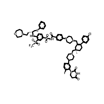 C[C@@]1(CN2CCC(c3ccc(F)c(N4CCC(=O)NC4=O)c3)CC2)CCC(c2ccc(Cl)cc2)=C(CN2CCN(c3ccc(C(=O)NS(=O)(=O)c4ccc(N[C@H](CCN5CCCOCC5)CSc5ccccc5)c(S(=O)(=O)C(F)(F)F)c4)cc3)CC2)C1